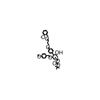 COc1ccc(COC2CN(OC(=O)OC(C)(C)C)CC(O)C2c2ccc(OCCCOCc3ccccc3OC)cc2)cc1